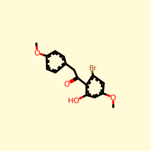 COc1ccc(CC(=O)c2c(O)cc(OC)cc2Br)cc1